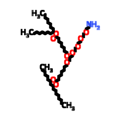 CCCCCCCCC(CCCCCCCC)OC(=O)CCCCCCCOCC(COCCOCCOCCOCCN)OCCCCCCCC(=O)OC(CCCCCCCC)CCCCCCCC